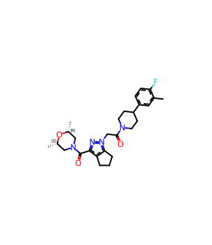 Cc1cc(C2CCN(C(=O)Cn3nc(C(=O)N4C[C@@H](C)O[C@@H](C)C4)c4c3CCC4)CC2)ccc1F